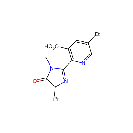 CCc1cnc(C2=NC(C(C)C)C(=O)N2C)c(C(=O)O)c1